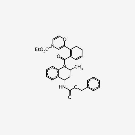 CCOC(=O)N1C=COC(C2=C(C(=O)N3c4ccccc4C(NC(=O)OCc4ccccc4)CC3C)C=CCC2)=C1